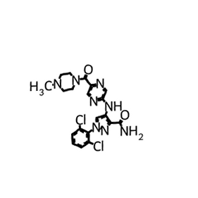 CN1CCN(C(=O)c2cnc(Nc3cn(-c4c(Cl)cccc4Cl)nc3C(N)=O)cn2)CC1